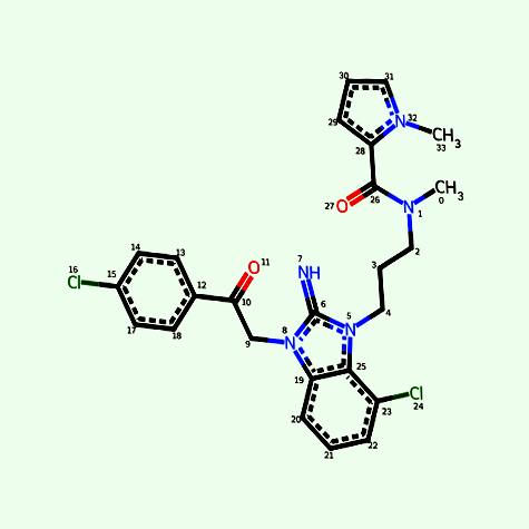 CN(CCCn1c(=N)n(CC(=O)c2ccc(Cl)cc2)c2cccc(Cl)c21)C(=O)c1cccn1C